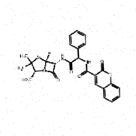 CC1(C)S[C@@H]2[C@H](NC(=O)C(NC(=O)c3cc4ccccc4oc3=O)c3ccccc3)C(=O)N2[C@H]1C(=O)O